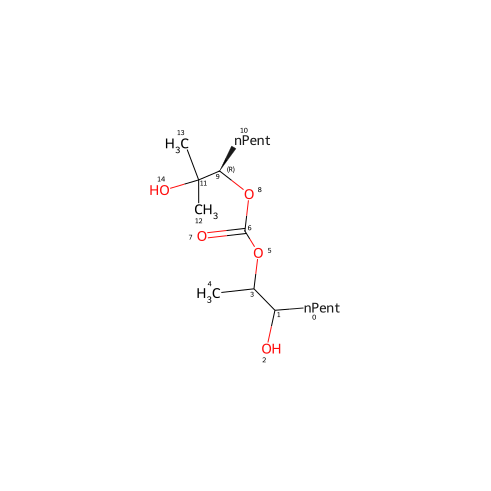 CCCCCC(O)C(C)OC(=O)O[C@H](CCCCC)C(C)(C)O